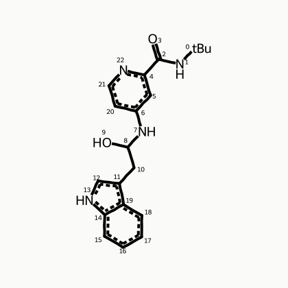 CC(C)(C)NC(=O)c1cc(NC(O)Cc2c[nH]c3ccccc23)ccn1